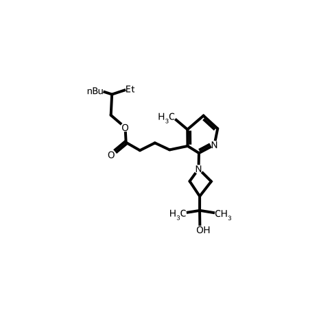 CCCCC(CC)COC(=O)CCCc1c(C)ccnc1N1CC(C(C)(C)O)C1